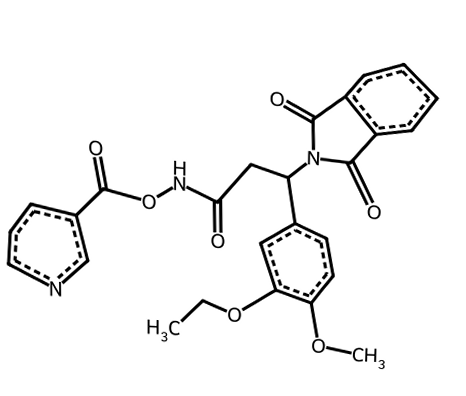 CCOc1cc(C(CC(=O)NOC(=O)c2cccnc2)N2C(=O)c3ccccc3C2=O)ccc1OC